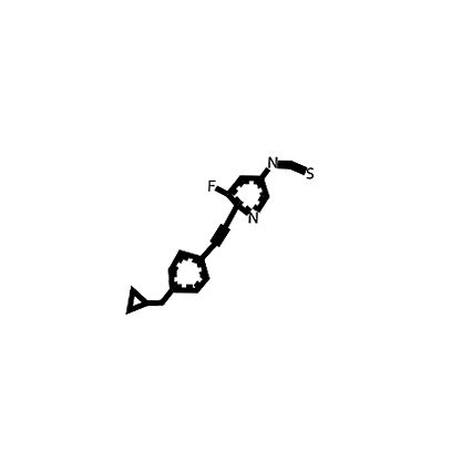 Fc1cc(N=C=S)cnc1C#Cc1ccc(CC2CC2)cc1